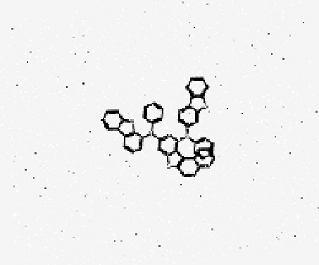 C1=CC2Sc3c(cccc3N(c3ccccc3)c3cc(N(c4ccccc4)c4ccc5c(c4)sc4ccccc45)c4c(c3)sc3ccc5ccccc5c34)C2C=C1